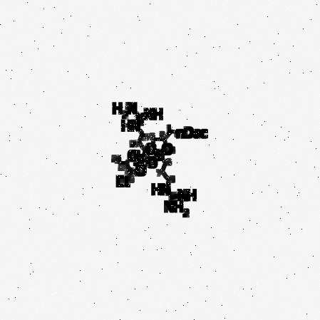 CCCCCCCCCCC[C@@H]1CO[Si](CCCNC(=N)N)(O[Si]2(CCCNC(=N)N)OC(C)C(CC)O2)O1